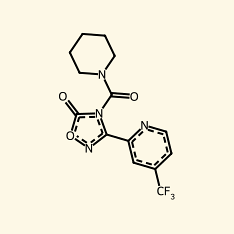 O=C(N1CCCCC1)n1c(-c2cc(C(F)(F)F)ccn2)noc1=O